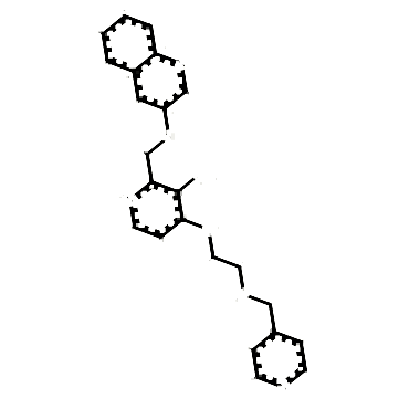 Cc1c(OCCSCc2ccncc2)ccnc1CNc1cnc2ccccc2c1